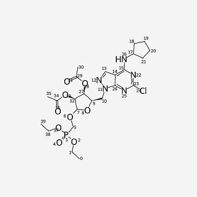 CCOP(=O)(COC1O[C@H](Cn2ncc3c(NC4CCCC4)nc(Cl)nc32)[C@H](OC(C)=O)[C@@H]1OC(C)=O)OCC